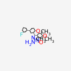 COc1ccc2c(c1C)Oc1ccc(-c3cccc(F)c3)cc1C2/N=C(/N)N(C)C=O